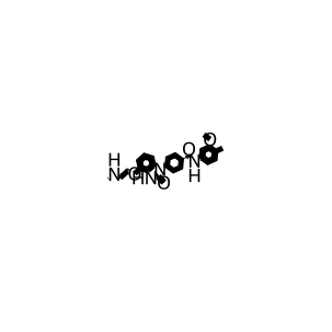 CNCCOc1cccc2c1[nH]c(=O)n2[C@H]1CC[C@@H](C(=O)Nc2ccc(C)c(OC)c2)CC1